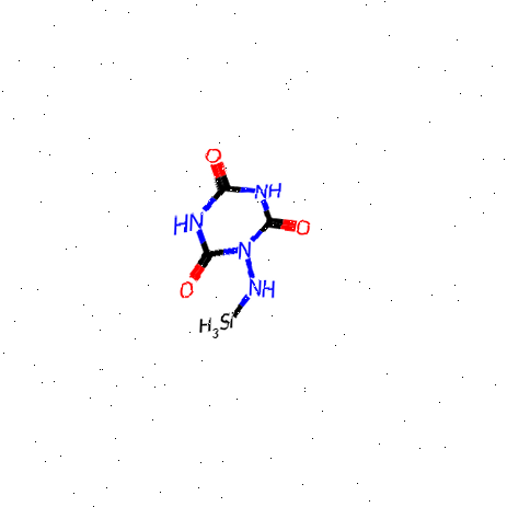 O=c1[nH]c(=O)n(N[SiH3])c(=O)[nH]1